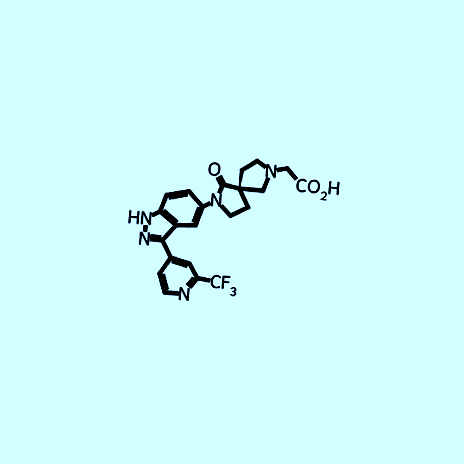 O=C(O)CN1CC[C@]2(CCN(c3ccc4[nH]nc(-c5ccnc(C(F)(F)F)c5)c4c3)C2=O)C1